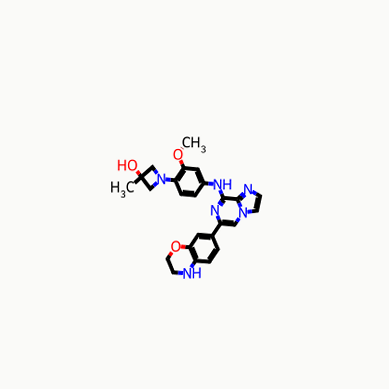 COc1cc(Nc2nc(-c3ccc4c(c3)OCCN4)cn3ccnc23)ccc1N1CC(C)(O)C1